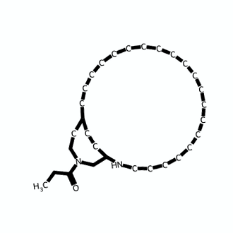 CCC(=O)N1CCC2CCCCCCCCCCCCCCCCCCCCNC(CC2)C1